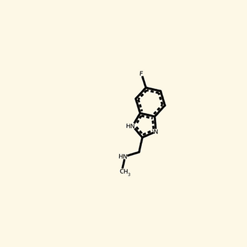 CNCc1nc2ccc(F)cc2[nH]1